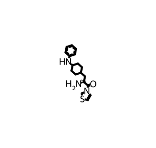 N[C@@H](CC1CCC(Nc2ccccc2)CC1)C(=O)N1C=CSC1